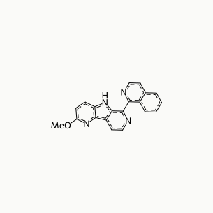 COc1ccc2[nH]c3c(-c4nccc5ccccc45)nccc3c2n1